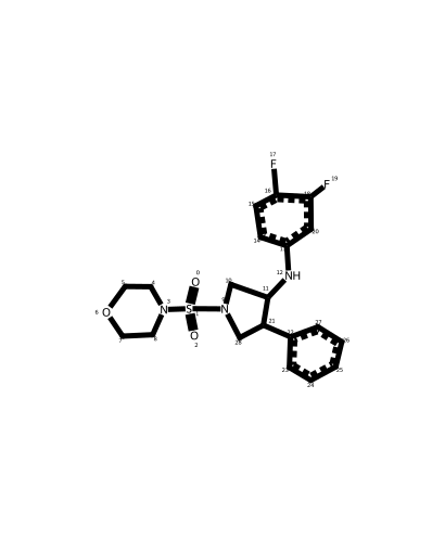 O=S(=O)(N1CCOCC1)N1CC(Nc2ccc(F)c(F)c2)C(c2ccccc2)C1